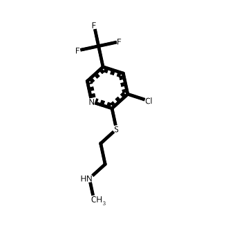 CNCCSc1ncc(C(F)(F)F)cc1Cl